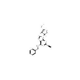 C#Cc1nc(NCc2ccccc2)c2ncn([C@]3(F)CO[C@H](CO)[C@H]3O)c2n1